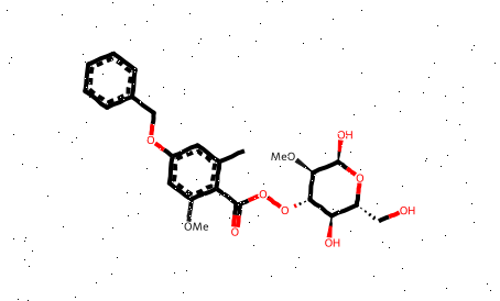 COc1cc(OCc2ccccc2)cc(C)c1C(=O)OO[C@H]1[C@H](O)[C@@H](CO)O[C@H](O)[C@@H]1OC